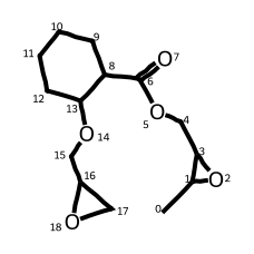 CC1OC1COC(=O)C1CCCCC1OCC1CO1